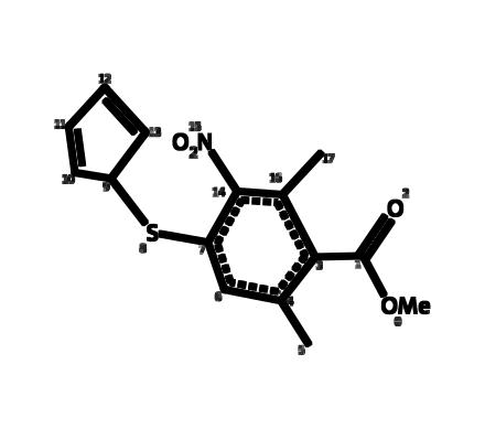 COC(=O)c1c(C)cc(SC2C=CC=C2)c([N+](=O)[O-])c1C